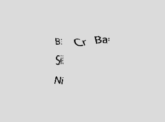 [B].[Ba].[Cr].[Ni].[Si]